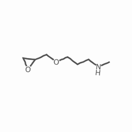 CNCCCOCC1CO1